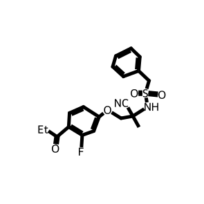 CCC(=O)c1ccc(OCC(C)(C#N)NS(=O)(=O)Cc2ccccc2)cc1F